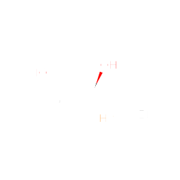 CCP[C@H](O)CO